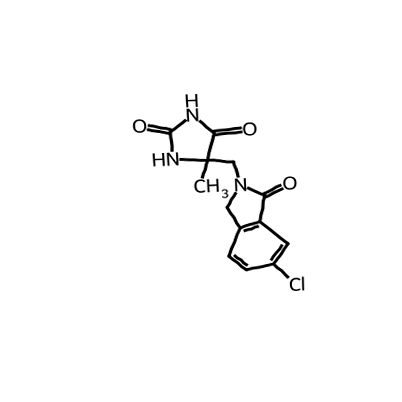 CC1(CN2Cc3ccc(Cl)cc3C2=O)NC(=O)NC1=O